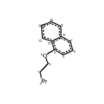 CC(C)CCOc1cccc2ccccc12